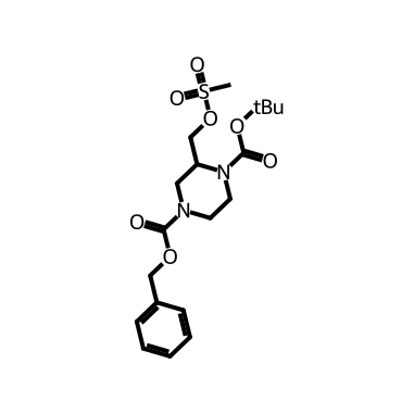 CC(C)(C)OC(=O)N1CCN(C(=O)OCc2ccccc2)CC1COS(C)(=O)=O